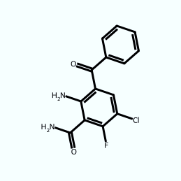 NC(=O)c1c(N)c(C(=O)c2ccccc2)cc(Cl)c1F